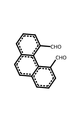 O=Cc1cccc2ccc3cccc(C=O)c3c12